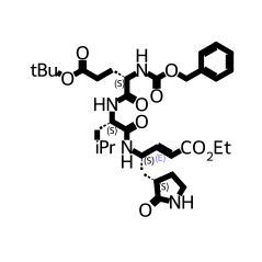 CCOC(=O)/C=C/[C@H](C[C@@H]1CCNC1=O)NC(=O)[C@H](CC(C)C)NC(=O)[C@H](CCC(=O)OC(C)(C)C)NC(=O)OCc1ccccc1